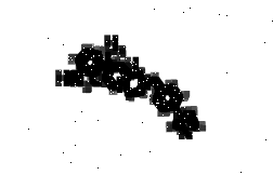 C[C@H]1CN2CCN(Cc3ccc(-n4ccnc4)cc3)C[C@H]2C[C@@]1(C)c1cccc(O)c1